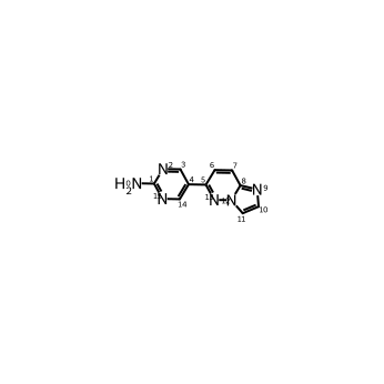 Nc1ncc(-c2ccc3nccn3n2)cn1